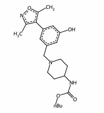 CCCCOC(=O)NC1CCN(Cc2cc(O)cc(-c3c(C)noc3C)c2)CC1